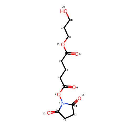 O=C(CCCC(=O)ON1C(=O)CCC1=O)OCCCO